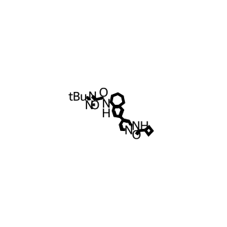 CC(C)(C)c1noc(C(=O)N[C@@H]2CCCCc3cc(-c4ccnc(NC(=O)C5CCC5)c4)ccc32)n1